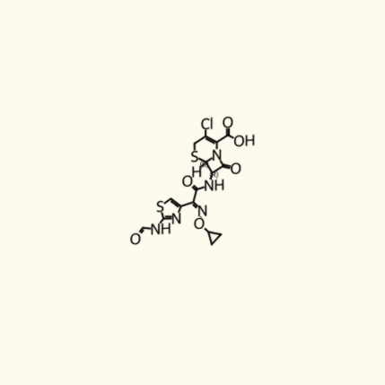 O=CNc1nc(C(=NOC2CC2)C(=O)N[C@@H]2C(=O)N3C(C(=O)O)=C(Cl)CS[C@@H]23)cs1